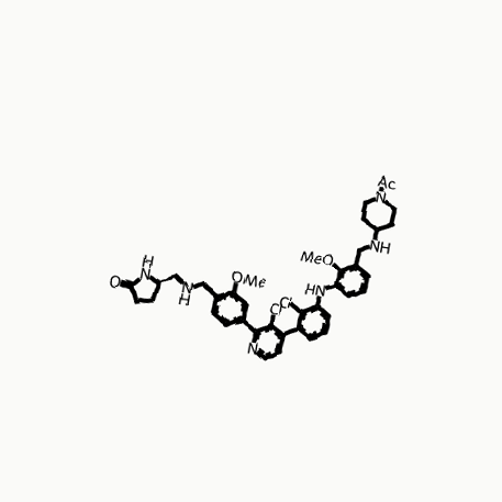 COc1cc(-c2nccc(-c3cccc(Nc4cccc(CNC5CCN(C(C)=O)CC5)c4OC)c3Cl)c2Cl)ccc1CNC[C@H]1CCC(=O)N1